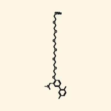 COCCOCCOCCOCCOCCOCCOCCOc1ccc(-c2cc(C)ccc2C)cc1CN(C)C